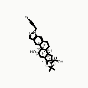 CCC#CCn1ncc2c1C=C1CC[C@H]3[C@@H]4C[C@H]5OC(C)(C)O[C@@]5(C(=O)CO)[C@@]4(C)C[C@H](O)[C@]3(F)[C@@]1(C)C2